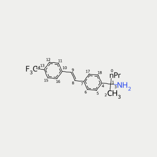 CCCC(C)(N)c1ccc(/C=C/c2ccc(C(F)(F)F)cc2)cc1